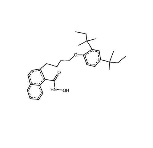 CCC(C)(C)c1ccc(OCCCCc2ccc3ccccc3c2C(=O)NO)c(C(C)(C)CC)c1